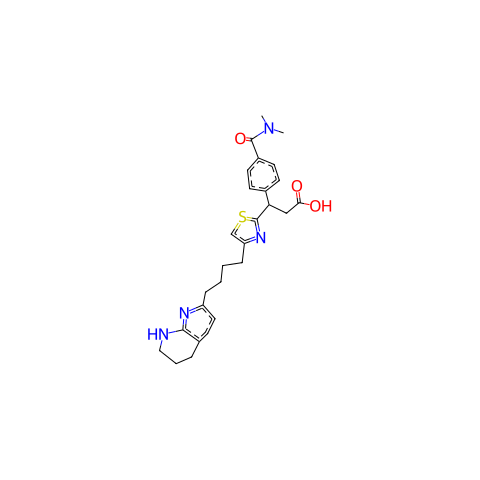 CN(C)C(=O)c1ccc(C(CC(=O)O)c2nc(CCCCc3ccc4c(n3)NCCC4)cs2)cc1